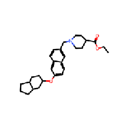 CCOC(=O)C1CCN(Cc2ccc3cc(OC4CCC5CCCC5C4)ccc3c2)CC1